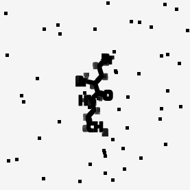 C=CCNC(=O)C(Br)CCBr